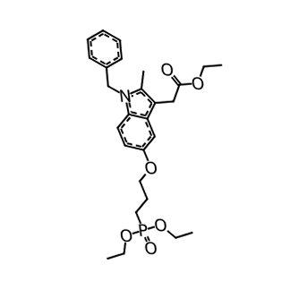 CCOC(=O)Cc1c(C)n(Cc2ccccc2)c2ccc(OCCCP(=O)(OCC)OCC)cc12